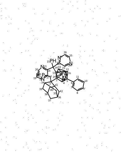 PCC1([C]23[CH]4[C]5(c6ccccc6)[CH]6[C]2(C(P)(c2cnccn2)c2cnccn2)[Fe]64532789[CH]3[CH]2[CH]7[CH]8[CH]39)C2CC3CC(C2)CC1C3